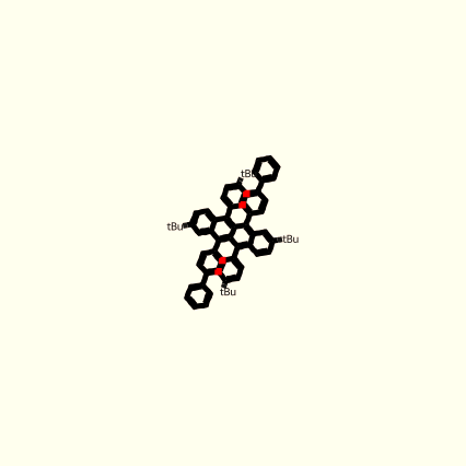 CC(C)(C)c1ccc(-c2c3ccc(C(C)(C)C)cc3c(-c3ccc(-c4ccccc4)cc3)c3c(-c4ccc(C(C)(C)C)cc4)c4ccc(C(C)(C)C)cc4c(-c4ccc(-c5ccccc5)cc4)c23)cc1